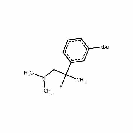 CN(C)CC(C)(F)c1cccc(C(C)(C)C)c1